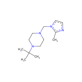 Cc1nccn1CN1CCN(C(C)(C)C)CC1